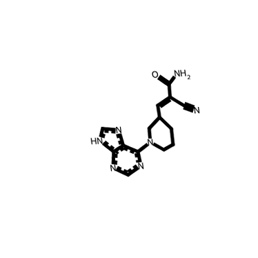 N#C/C(=C\C1CCCN(c2ncnc3[nH]cnc23)C1)C(N)=O